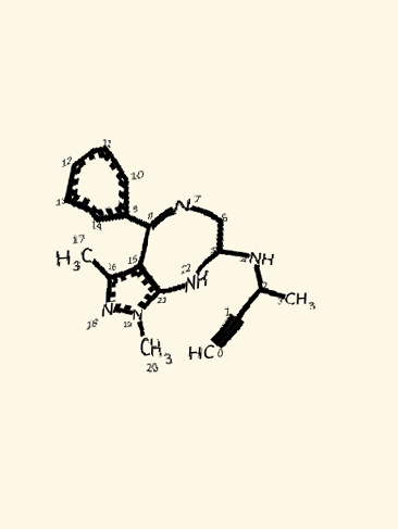 C#CC(C)NC1CN=C(c2ccccc2)c2c(C)nn(C)c2N1